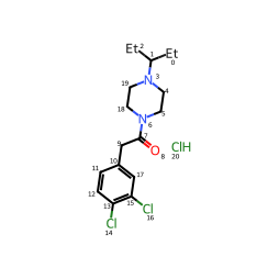 CCC(CC)N1CCN(C(=O)Cc2ccc(Cl)c(Cl)c2)CC1.Cl